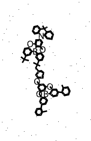 Cc1ccccc1-c1ccc2c(c1)Oc1cc(Oc3cccc(CC(C)(C)c4ccc5c(c4)B4c6cc(C(C)(C)C)ccc6Oc6cc(N7c8ccccc8C(C)(C)c8ccccc87)cc(c64)O5)c3)cc3c1B2c1ccc(-c2ccccc2C)cc1O3